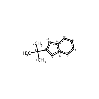 CC(C)(C)c1cn2cc[c]cc2n1